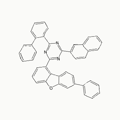 c1ccc(-c2ccc3c(c2)oc2cccc(-c4nc(-c5ccc6ccccc6c5)nc(-c5ccccc5-c5ccccc5)n4)c23)cc1